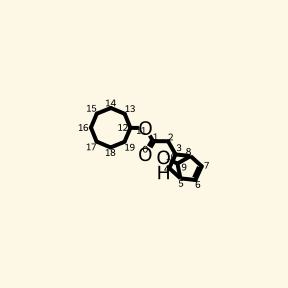 O=C(CC1CC2C=CC1C2O)OC1CCCCCCC1